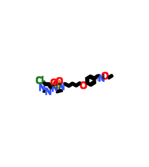 CCO/N=C/c1ccc(OCCCCCN2CCN(c3cc(Cl)ncn3)S2(=O)=O)cc1